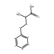 O=C(O)C(O)CCc1ccccc1